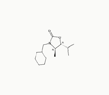 CC(C)[C@H]1OC(=O)N(CC2CCCCC2)[C@@H]1C